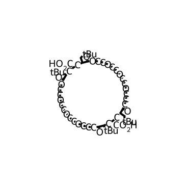 CC(C)(C)CC1CC(C(=O)O)CC(C(C)(C)C)C(=O)CCCOCCOCCOCCOC(=O)C(C(C)(C)C)CC(C(=O)O)CC(CC(C)(C)C)C(=O)OCCOCCOCCOCCCC1=O